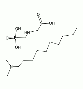 CCCCCCCCCCN(C)C.O=C(O)CNCP(=O)(O)O